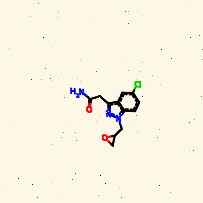 NC(=O)Cc1nn(CC2CO2)c2ccc(Cl)cc12